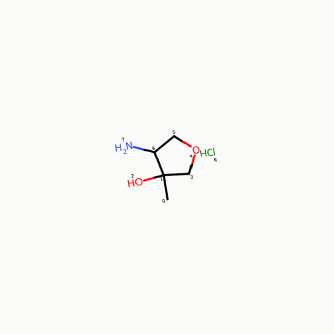 CC1(O)COCC1N.Cl